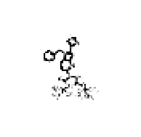 CC(C)(C)OC(=O)NN(C(=O)OC(C)(C)C)c1ccc2c(cc(-c3cscn3)n2Cc2ccccc2)n1